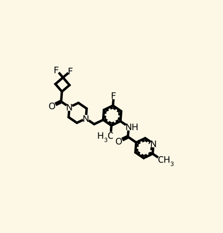 Cc1ccc(C(=O)Nc2cc(F)cc(CN3CCN(C(=O)C4CC(F)(F)C4)CC3)c2C)cn1